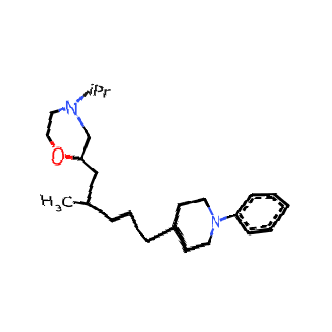 CC(CCCC1CCN(c2ccccc2)CC1)CC1CN(C(C)C)CCO1